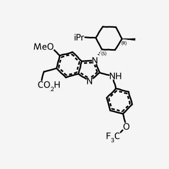 COc1cc2c(cc1CC(=O)O)nc(Nc1ccc(OC(F)(F)F)cc1)n2[C@H]1C[C@H](C)CCC1C(C)C